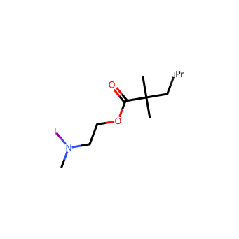 CC(C)CC(C)(C)C(=O)OCCN(C)I